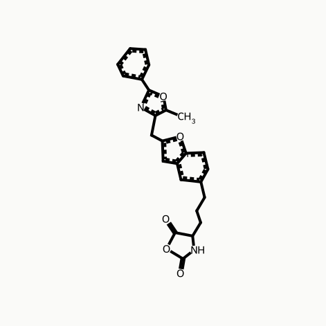 Cc1oc(-c2ccccc2)nc1Cc1cc2cc(CCCC3NC(=O)OC3=O)ccc2o1